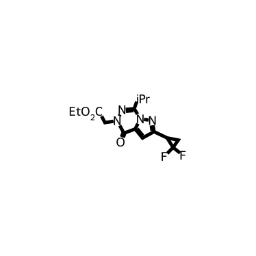 CCOC(=O)Cn1nc(C(C)C)n2nc(C3CC3(F)F)cc2c1=O